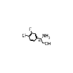 N[C@H](CO)c1ccc(Cl)c(F)c1